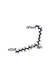 CCCCC/C=C\C/C=C\CCCCCCCCN(CCC)CCOCCCCCCCC/C=C\CCCCCCCC